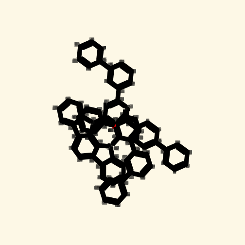 c1ccc(-c2ccc(-c3nc(-c4cccc(-c5ccccc5)c4)nc(-n4c5ccccc5c5ccc6c7ccccc7n(-c7c(-c8ccccc8)cccc7-c7cccc(-c8ccccc8)c7)c6c54)n3)cc2)cc1